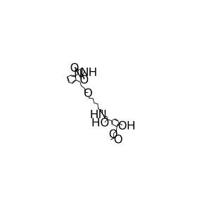 CC(=O)OCc1cc([C@@H](O)CNCCCCCCOCCCCc2ccccc2N2C(=O)CNC2=O)ccc1O